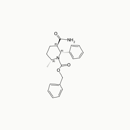 C[C@@H]1CC[C@@H](C(N)=O)[C@H](c2ccccc2)N1C(=O)OCc1ccccc1